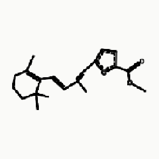 COC(=O)c1ccc(C=C(C)C=CC2=C(C)CCCC2(C)C)o1